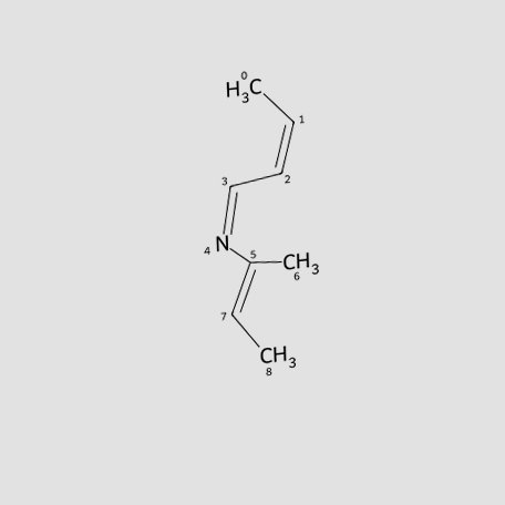 C\C=C/C=N\C(C)=C\C